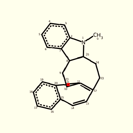 CN1c2ccccc2C2CCC3=C(\C=C/c4ccccc4/C=C\3)CCC21